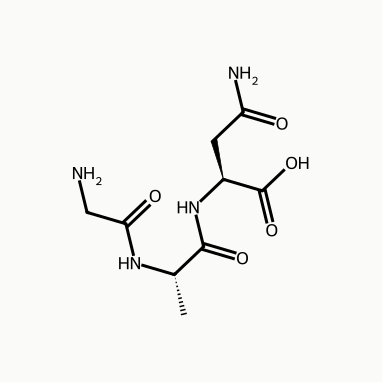 C[C@H](NC(=O)CN)C(=O)N[C@@H](CC(N)=O)C(=O)O